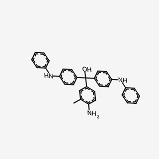 Cc1cc(C(O)(c2ccc(Nc3ccccc3)cc2)c2ccc(Nc3ccccc3)cc2)ccc1N